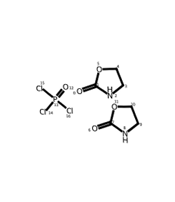 O=C1NCCO1.O=C1NCCO1.O=P(Cl)(Cl)Cl